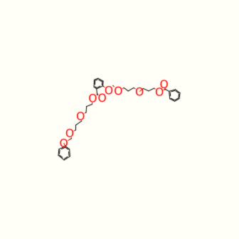 O=C(OCCCOCCCOCOc1ccccc1C(=O)OCCCOCCCOCOc1ccccc1)c1ccccc1